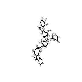 CC1(C)c2ccccc2-c2cc(-c3ccc(-n4c5ccccc5c5cc6c(cc54)[nH]c4ccccc46)nc3)ccc21